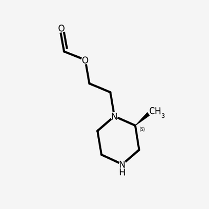 C[C@H]1CNCCN1CCOC=O